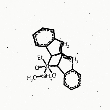 C[CH2][Zr]([Cl])([Cl])([SiH2]C)([CH]1C(C)=Cc2ccccc21)[CH]1C(C)=Cc2ccccc21